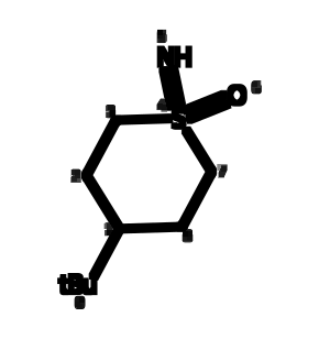 CC(C)(C)C1CCS(=N)(=O)CC1